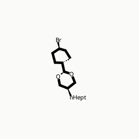 CCCCCCC[C@H]1CO[C@H]([C@H]2CC[C@H](Br)CC2)OC1